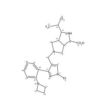 CCn1cc(CN2CC3C(C(=O)O)NC(C(C(F)(F)F)C(F)(F)F)C3C2)c(-c2ccccc2N2CCC2)n1